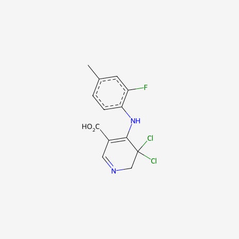 Cc1ccc(NC2=C(C(=O)O)C=NCC2(Cl)Cl)c(F)c1